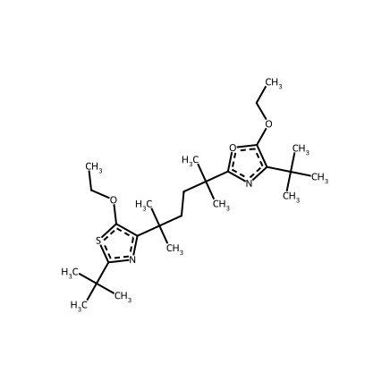 CCOc1oc(C(C)(C)CCC(C)(C)c2nc(C(C)(C)C)sc2OCC)nc1C(C)(C)C